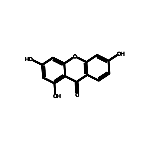 O=c1c2ccc(O)cc2oc2cc(O)cc(O)c12